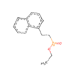 CCO[PH](=O)CCc1cccc2ccccc12